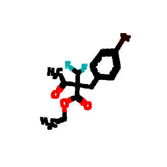 CCOC(=O)C(Cc1ccc(Br)cc1)(C(C)=O)C(F)F